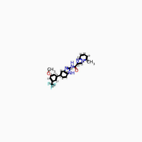 COc1cc(-c2ccc3[nH]c(NC(=O)c4cn5c(C)cccc5n4)nc3c2)cc(C(F)(F)F)c1